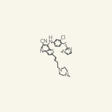 CN1CCN(CCC=Cc2cc3ncc(C#N)c(Nc4ccc(Sc5nccn5C)c(Cl)c4)c3s2)CC1